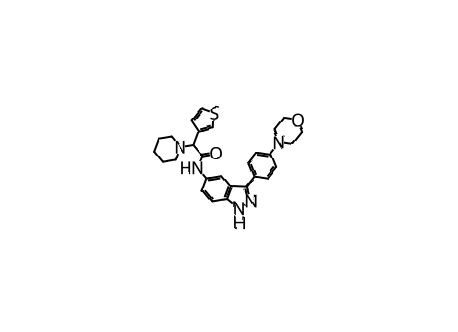 O=C(Nc1ccc2[nH]nc(-c3ccc(N4CCOCC4)cc3)c2c1)C(c1ccsc1)N1CCCCC1